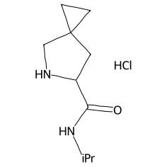 CC(C)NC(=O)C1CC2(CC2)CN1.Cl